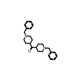 O=C(C1CCN(Cc2ccccc2)CC1)C1CCN(Cc2ccccc2)CC1